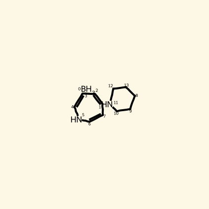 B.C1=CC=CNC=C1.C1CCNCC1